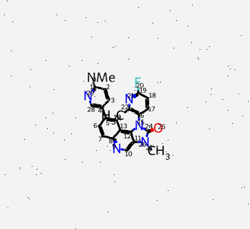 CNc1ccc(-c2ccc3ncc4c(c3c2)n(-c2ccc(F)nc2C)c(=O)n4C)cn1